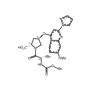 COc1ccc2c(O[C@@H]3C[C@@H](C(=O)O)N(C(=O)[C@@H](NC(=O)OC(C)(C)C)C(C)(C)C)C3)cc(-n3cccn3)nc2c1